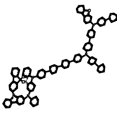 CC1(C)c2ccccc2-c2ccc(-n3c4ccccc4c4ccc(N(c5ccccc5)c5ccc(N(c6ccccc6)c6ccc(-c7ccc(-c8ccc(-c9ccc(N(c%10ccc(-c%11ccccc%11)cc%10)c%10ccc(-c%11ccc(N(c%12ccc(-c%13ccccc%13)cc%12)c%12ccc%13c(c%12)oc%12ccccc%12%13)cc%11)cc%10)cc9)cc8)cc7)cc6)cc5)cc43)cc21